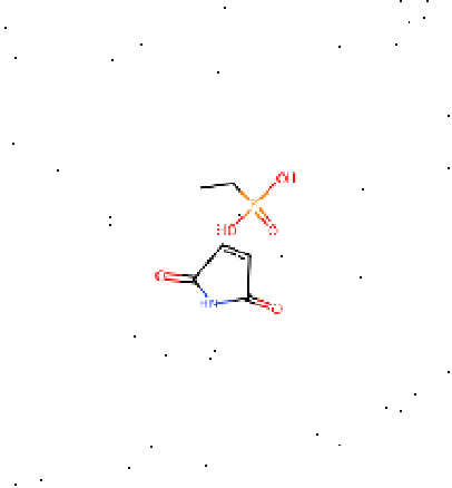 CCP(=O)(O)O.O=C1C=CC(=O)N1